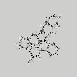 Clc1cccc(-c2ccccc2-n2c3cc4ccccc4cc3c3cc4ccccc4cc32)c1